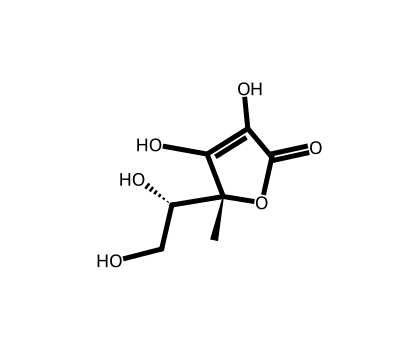 C[C@]1([C@@H](O)CO)OC(=O)C(O)=C1O